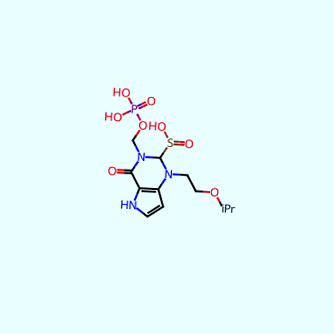 CC(C)OCCN1c2cc[nH]c2C(=O)N(COP(=O)(O)O)C1S(=O)O